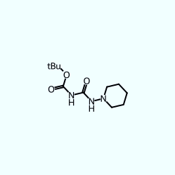 CC(C)(C)OC(=O)NC(=O)NN1CCCCC1